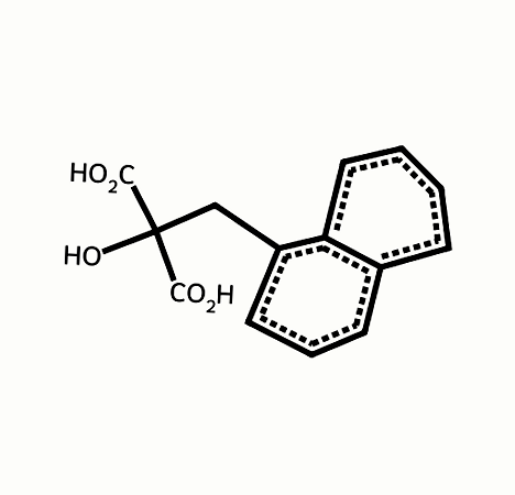 O=C(O)C(O)(Cc1cccc2ccccc12)C(=O)O